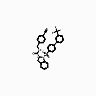 N#Cc1ccc(CNC(=O)[C@@H]2Cc3ccccc3N2S(=O)(=O)c2ccc(-c3cccc(C(F)(F)F)c3)cc2)cc1